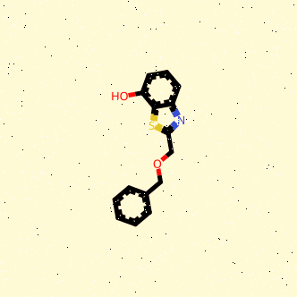 Oc1cccc2nc(COCc3ccccc3)sc12